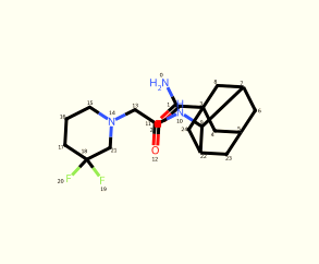 NC(=O)C12CC3CC(C1)C(NC(=O)CN1CCCC(F)(F)C1)C(C3)C2